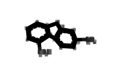 O=C(O)c1cccc2c1-c1ccc([N+](=O)[O-])cc1C2